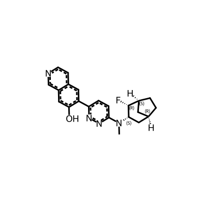 CN(c1ccc(-c2cc3ccncc3cc2O)nn1)[C@H]1C[C@@H]2CC[C@@H](C2)[C@H]1F